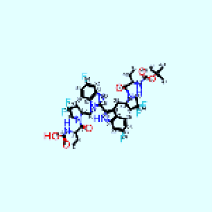 CCC(NC(=O)O)C(=O)N1CC(F)(F)CC1Cn1c(-c2[nH]c3cc(F)ccc3c2CC2CC(F)(F)CN2C(=O)C(CC)NC(=O)OC(C)(C)C)nc2cc(F)ccc21